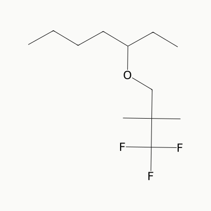 CCCCC(CC)OCC(C)(C)C(F)(F)F